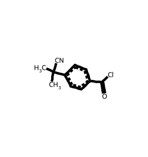 CC(C)(C#N)c1ccc(C(=O)Cl)cc1